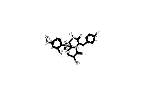 CC(C)N1CC2(S(=O)(=O)c3ccc(OC(F)(F)F)cc3Cl)NCC(N)C(=O)N2C(Cc2ccc(Cl)cc2)C1=O